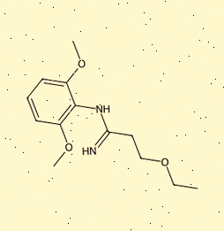 CCOCCC(=N)Nc1c(OC)cccc1OC